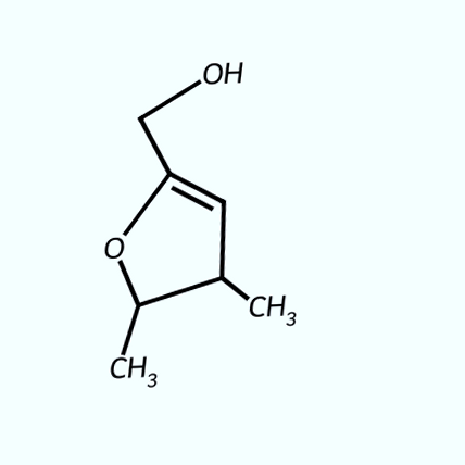 CC1C=C(CO)OC1C